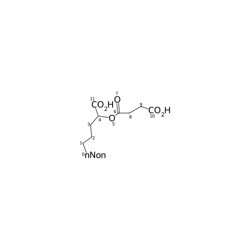 CCCCCCCCCCCCC(OC(=O)CCC(=O)O)C(=O)O